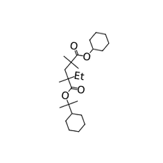 CCC(C)(CC(C)(C)C(=O)OC1CCCCC1)C(=O)OC(C)(C)C1CCCCC1